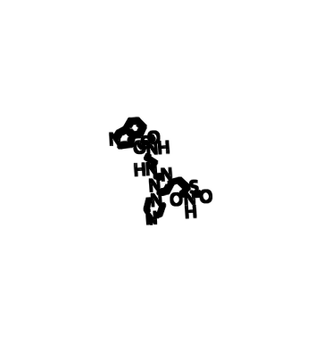 CN1CCN(c2cc(/C=C3/SC(=O)NC3=O)nc(NCCNS(=O)(=O)c3cccc4cnccc34)n2)CC1